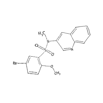 COc1ccc(Br)cc1S(=O)(=O)N(C)c1cnc2ccccc2c1